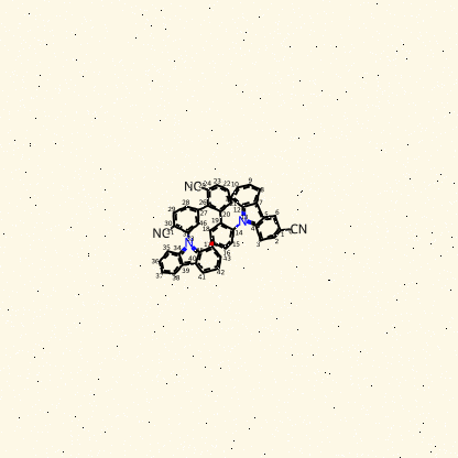 N#Cc1ccc2c(c1)c1ccccc1n2-c1ccccc1-c1cccc(C#N)c1-c1ccc(C#N)c(-n2c3ccccc3c3ccccc32)c1